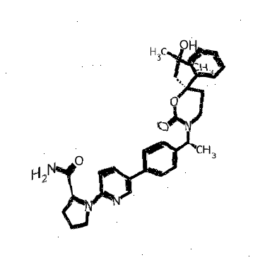 C[C@@H](c1ccc(-c2ccc(N3CCC[C@H]3C(N)=O)nc2)cc1)N1CC[C@](CC(C)(C)O)(c2ccccc2)OC1=O